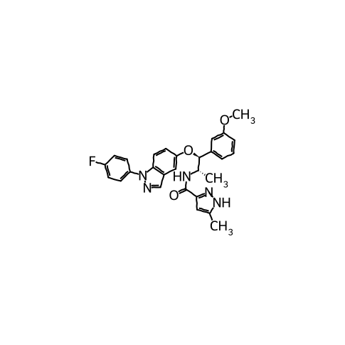 COc1cccc([C@H](Oc2ccc3c(cnn3-c3ccc(F)cc3)c2)[C@H](C)NC(=O)c2cc(C)[nH]n2)c1